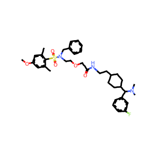 COc1cc(C)c(S(=O)(=O)N(CCOCC(=O)NCCC2CCC(C(c3cccc(F)c3)N(C)C)CC2)Cc2ccccc2)c(C)c1